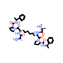 CN[C@@H](C)C(=O)N[C@@H](CCCCCC[C@H](NC(=O)[C@H](C)NC)C(=O)N1CCC[C@H]1C(=O)NC(C)c1ccccc1)C(=O)N1CCC[C@H]1C(=O)NC(C)c1ccccc1